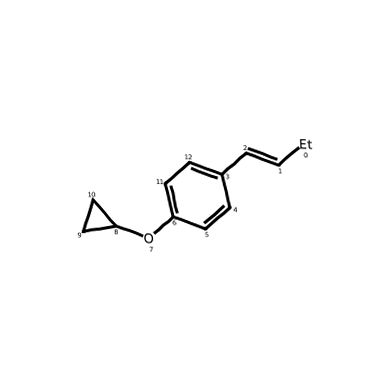 CC/C=C/c1ccc(OC2CC2)cc1